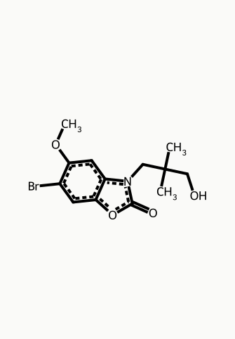 COc1cc2c(cc1Br)oc(=O)n2CC(C)(C)CO